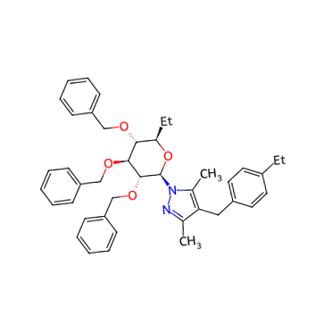 CCc1ccc(Cc2c(C)nn([C@@H]3O[C@H](CC)[C@@H](OCc4ccccc4)[C@H](OCc4ccccc4)[C@H]3OCc3ccccc3)c2C)cc1